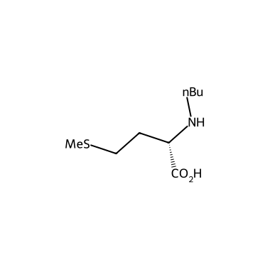 CCCCN[C@@H](CCSC)C(=O)O